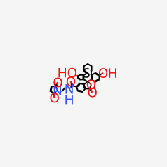 O=C(NCCN1C(=O)C=CC1=O)c1ccc2c(c1)C1(OC2=O)c2ccc(O)cc2[Si]2(CCCCC2)c2cc(O)ccc21